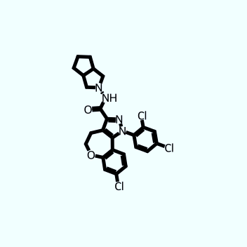 O=C(NN1CC2CCCC2C1)c1nn(-c2ccc(Cl)cc2Cl)c2c1CCOc1cc(Cl)ccc1-2